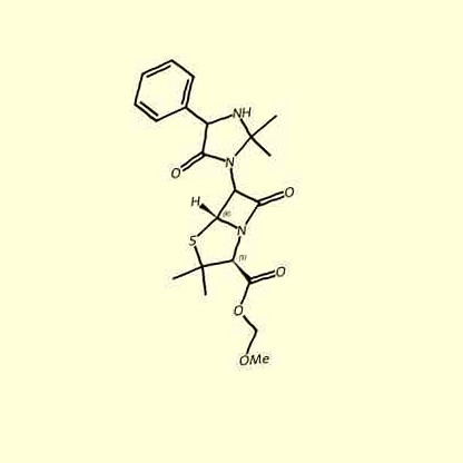 COCOC(=O)[C@@H]1N2C(=O)C(N3C(=O)C(c4ccccc4)NC3(C)C)[C@H]2SC1(C)C